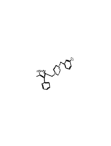 Cc1[nH]nc(CN2CCN(Cc3cccc(Cl)c3)CC2)c1-c1ccccc1